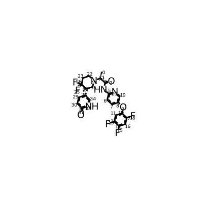 C[C@@H](C(=O)Nc1ccc(Oc2cc(F)c(F)cc2F)cn1)N1CCC(F)(F)[C@@H](c2ccc(=O)[nH]c2)C1